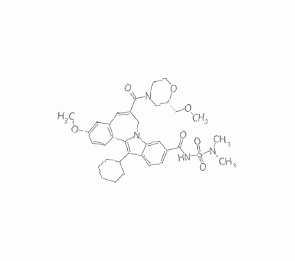 COC[C@@H]1CN(C(=O)C2=Cc3cc(OC)ccc3-c3c(C4CCCCC4)c4ccc(C(=O)NS(=O)(=O)N(C)C)cc4n3C2)CCO1